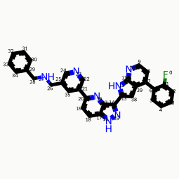 Fc1ccccc1-c1ccnc2[nH]c(-c3n[nH]c4ccc(-c5cncc(CNCc6ccccc6)c5)nc34)cc12